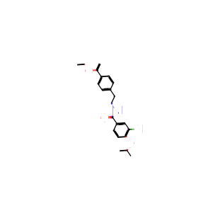 C=C(OCC)c1ccc(CCNC(=O)c2ccc(OC(C)C)c(Cl)c2)cc1